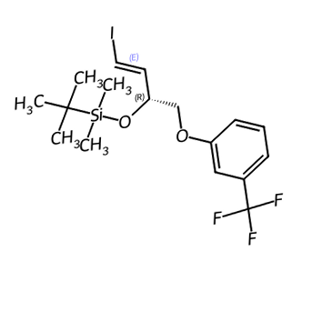 CC(C)(C)[Si](C)(C)O[C@H](/C=C/I)COc1cccc(C(F)(F)F)c1